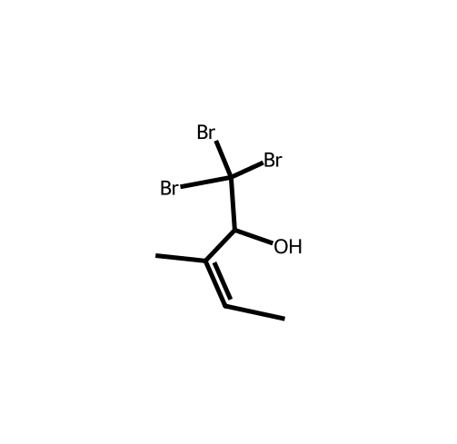 CC=C(C)C(O)C(Br)(Br)Br